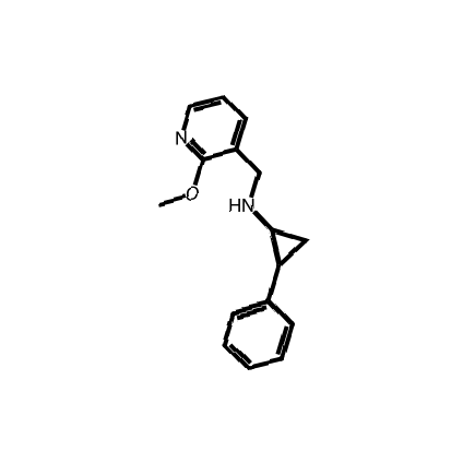 COc1ncccc1CNC1CC1c1ccccc1